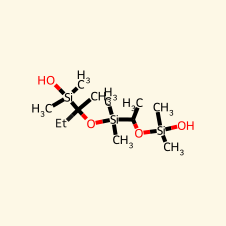 CCC(C)(O[Si](C)(C)C(C)O[Si](C)(C)O)[Si](C)(C)O